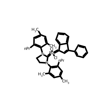 CCCc1cc(C)cc(C)c1N1CCN(c2c(C)cc(C)cc2CCC)[C]1=[Ru]([Cl])([Cl])=[C]1C=C(c2ccccc2)c2ccccc21